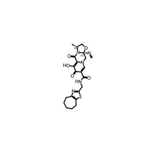 C=N[C@@]12Cn3cc(C(=O)NCc4nc5c(s4)CCCCC5)c(=O)c(O)c3C(=O)N1[C@@H](C)CO2